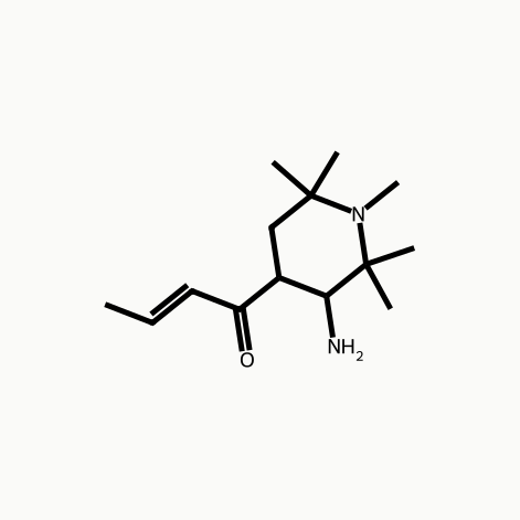 CC=CC(=O)C1CC(C)(C)N(C)C(C)(C)C1N